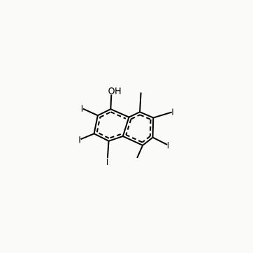 Cc1c(I)c(I)c(C)c2c(I)c(I)c(I)c(O)c12